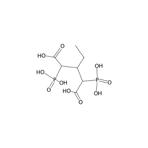 CCC(C(C(=O)O)P(=O)(O)O)C(C(=O)O)P(=O)(O)O